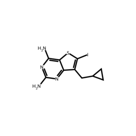 Nc1nc(N)c2sc(I)c(CC3CC3)c2n1